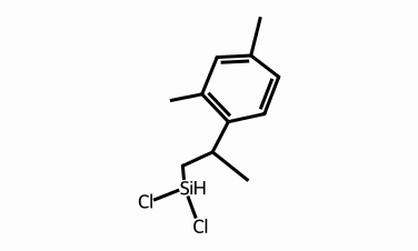 Cc1ccc(C(C)C[SiH](Cl)Cl)c(C)c1